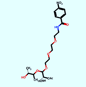 CC(=O)N[C@@H](OC(C)=O)C(OCCOCCOCCNC(=O)c1ccc([N+](=O)[O-])cc1)OC(C)[C@@H](C)O